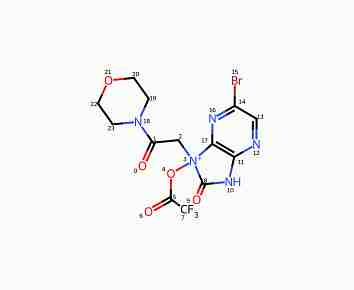 O=C(C[N+]1(OC(=O)C(F)(F)F)C(=O)Nc2ncc(Br)nc21)N1CCOCC1